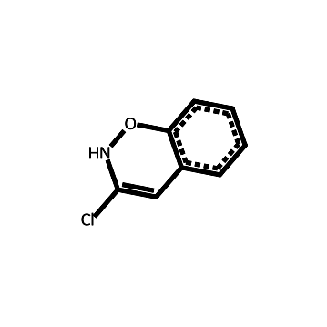 ClC1=Cc2ccccc2ON1